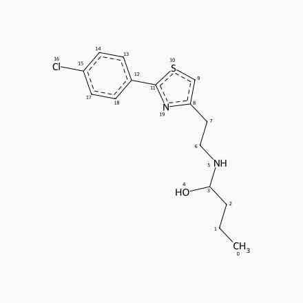 CCCC(O)NCCc1csc(-c2ccc(Cl)cc2)n1